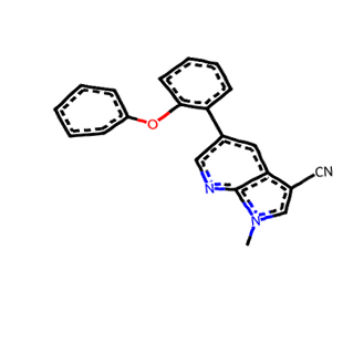 Cn1cc(C#N)c2cc(-c3ccccc3Oc3ccccc3)cnc21